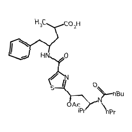 CCCCC(=O)N(CCC)C(CC(OC(C)=O)c1nc(C(=O)NC(Cc2ccccc2)CC(C)C(=O)O)cs1)C(C)C